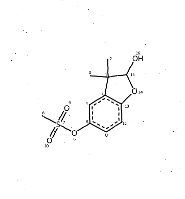 CC1(C)c2cc(OS(C)(=O)=O)ccc2OC1O